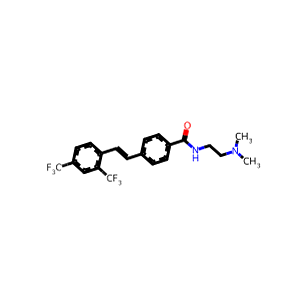 CN(C)CCNC(=O)c1ccc(/C=C/c2ccc(C(F)(F)F)cc2C(F)(F)F)cc1